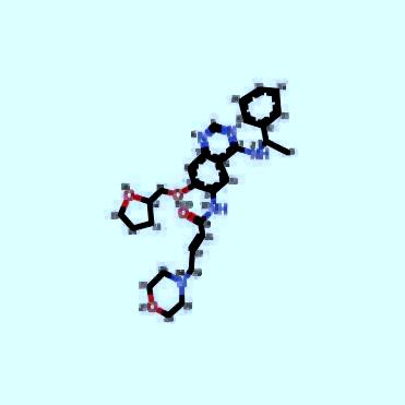 CC(Nc1ncnc2cc(OCC3CCCO3)c(NC(=O)C=CCN3CCOCC3)cc12)c1ccccc1